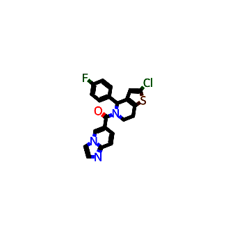 O=C(c1ccc2nccn2c1)N1CCc2sc(Cl)cc2C1c1ccc(F)cc1